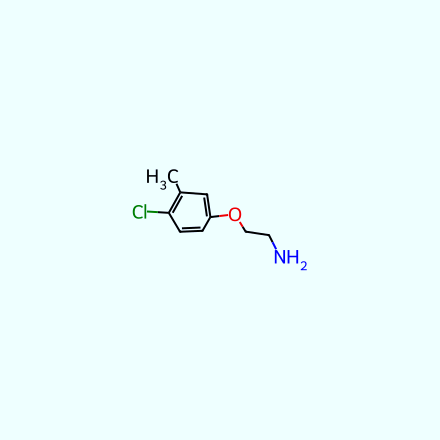 Cc1cc(OCCN)ccc1Cl